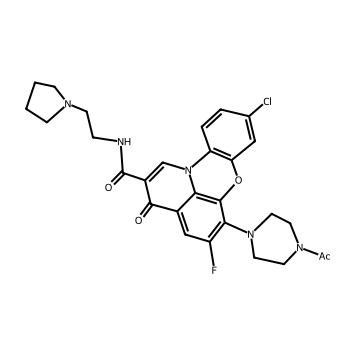 CC(=O)N1CCN(c2c(F)cc3c(=O)c(C(=O)NCCN4CCCC4)cn4c3c2Oc2cc(Cl)ccc2-4)CC1